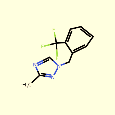 [CH2]c1ncn(Cc2ccccc2C(F)(F)F)n1